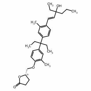 CCCC(O)(C=Cc1ccc(C(CC)(CC)c2ccc(OC[C@@H]3CCC(=O)O3)c(C)c2)cc1C)CC